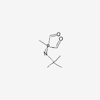 CC(C)(C)N=P(C)(C=O)C=O